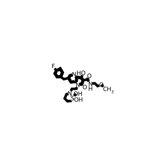 COCCNC(=O)c1c(O)c2ncc(Cc3ccc(F)cc3)cc2n(CCN2CCCCS2(O)O)c1=O